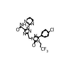 NC(=O)c1nc(Cn2nc(-c3ccc(Cl)cc3)n(CCC(F)(F)F)c2=O)nn1-c1ncccn1